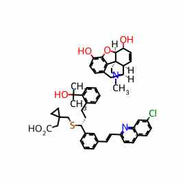 CC(C)(O)c1ccccc1CC[C@@H](SCC1(CC(=O)O)CC1)c1cccc(/C=C/c2ccc3ccc(Cl)cc3n2)c1.CN1CC[C@]23c4c5ccc(O)c4O[C@H]2[C@@H](O)C=C[C@H]3[C@H]1C5